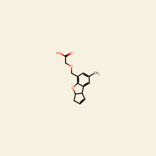 Cc1cc(COCC(=O)O)c2c(c1)C1C=CCC1O2